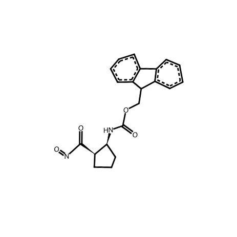 O=NC(=O)[C@@H]1CCC[C@@H]1NC(=O)OCC1c2ccccc2-c2ccccc21